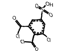 O=C(Cl)c1cc(S(=O)(=O)O)cc(Cl)c1C(=O)Cl